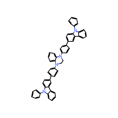 c1ccc(-n2c3ccccc3c3cc(-c4ccc(N5CCN(c6ccc(-c7ccc8c(c7)c7ccccc7n8-c7ccccc7)cc6)c6ccccc65)cc4)ccc32)cc1